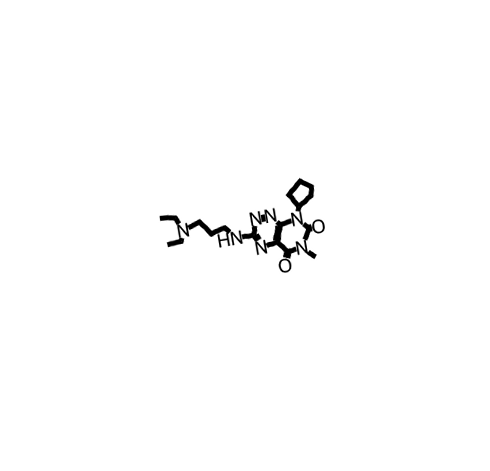 CCN(CC)CCCNc1nnc2c(n1)c(=O)n(C)c(=O)n2C1CCCC1